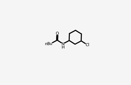 CCCCC(=O)NC1CCCC(Cl)C1